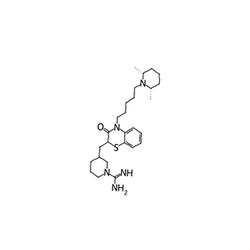 C[C@@H]1CCC[C@H](C)N1CCCCCN1C(=O)C(CC2CCCN(C(=N)N)C2)Sc2ccccc21